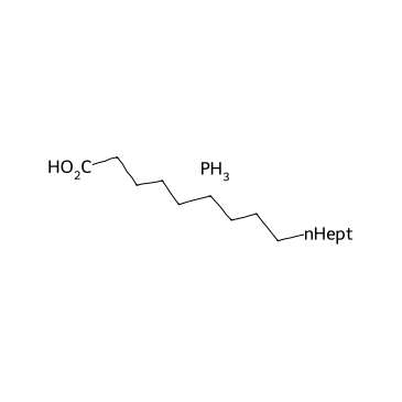 CCCCCCCCCCCCCCCC(=O)O.P